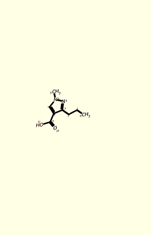 CCCc1nn(C)cc1C(=O)O